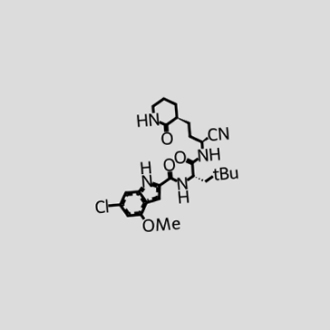 COc1cc(Cl)cc2[nH]c(C(=O)N[C@@H](CC(C)(C)C)C(=O)N[C@H](C#N)CC[C@@H]3CCCNC3=O)cc12